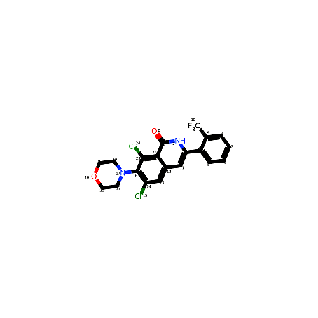 O=c1[nH]c(-c2ccccc2C(F)(F)F)cc2cc(Cl)c(N3CCOCC3)c(Cl)c12